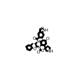 O=C(N[C@@H](Cc1ccccc1)C(=O)N1C(=O)OC2(CCNC2)c2cc(Cl)ccc21)c1ccc2[nH]ncc2c1